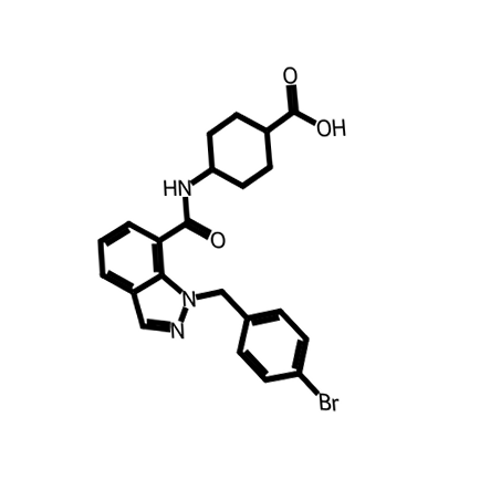 O=C(NC1CCC(C(=O)O)CC1)c1cccc2cnn(Cc3ccc(Br)cc3)c12